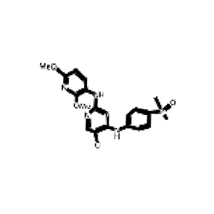 COc1ccc(Nc2ncc(Cl)c(Nc3ccc(P(C)(C)=O)cc3)n2)c(OC)n1